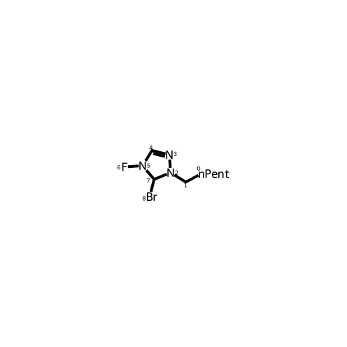 CCCCCCN1N=CN(F)C1Br